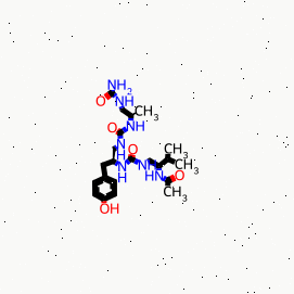 CC(=O)NC(CNC(=O)N[C@H](CNC(=O)N[C@@H](C)CNC(N)=O)Cc1ccc(O)cc1)C(C)C